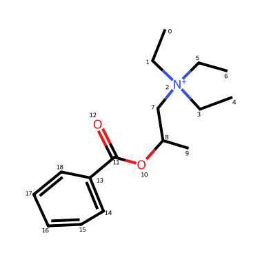 CC[N+](CC)(CC)CC(C)OC(=O)c1ccccc1